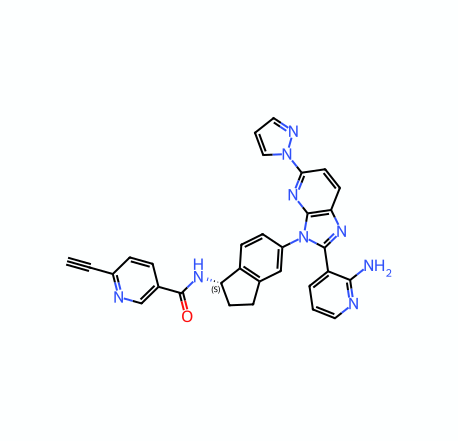 C#Cc1ccc(C(=O)N[C@H]2CCc3cc(-n4c(-c5cccnc5N)nc5ccc(-n6cccn6)nc54)ccc32)cn1